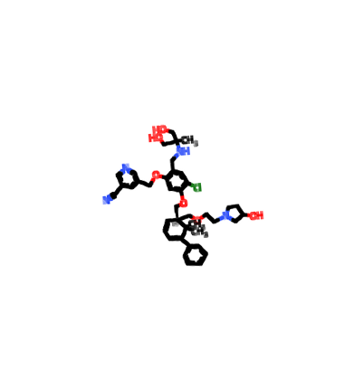 CC(CO)(CO)NCc1cc(Cl)c(OC[C@]2(COCCN3CCC(O)C3)C=CC=C(c3ccccc3)C2(C)C)cc1OCc1cncc(C#N)c1